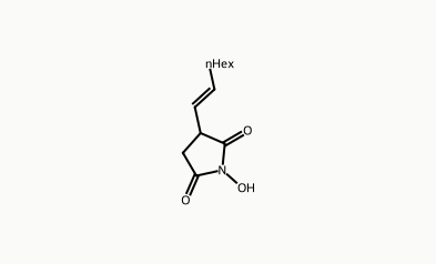 CCCCCCC=CC1CC(=O)N(O)C1=O